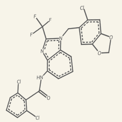 O=C(Nc1cccc2c1nc(C(F)(F)F)n2Cc1cc2c(cc1Cl)OCO2)c1c(Cl)cccc1Cl